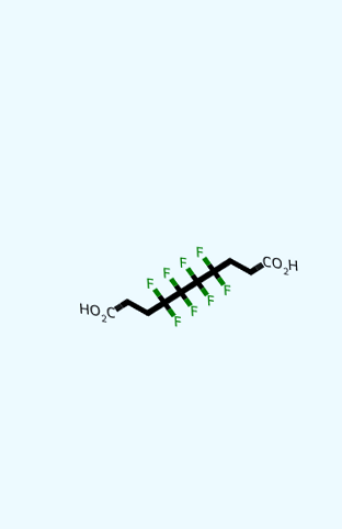 O=C(O)CCC(F)(F)C(F)(F)C(F)(F)C(F)(F)CCC(=O)O